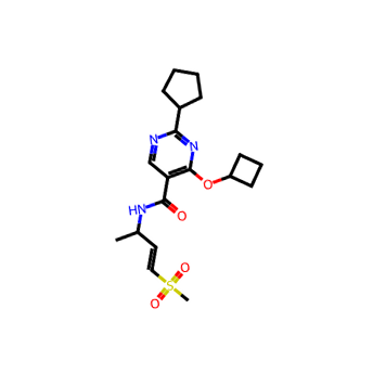 CC(C=CS(C)(=O)=O)NC(=O)c1cnc(C2CCCC2)nc1OC1CCC1